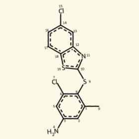 Cc1cc(N)cc(Cl)c1Sc1nc2cc(Cl)ccc2s1